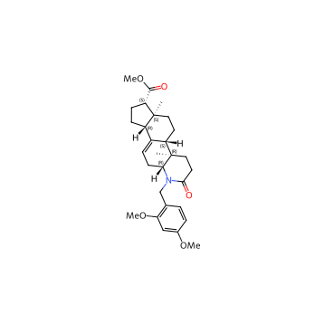 COC(=O)[C@H]1CC[C@H]2C3=CC[C@H]4N(Cc5ccc(OC)cc5OC)C(=O)CC[C@]4(C)[C@H]3CC[C@]12C